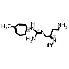 CC1=CCC[C@H](N/C(N)=N/C/C(CCN)=N\C(C)C)C=C1